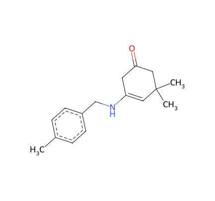 Cc1ccc(CNC2=CC(C)(C)CC(=O)C2)cc1